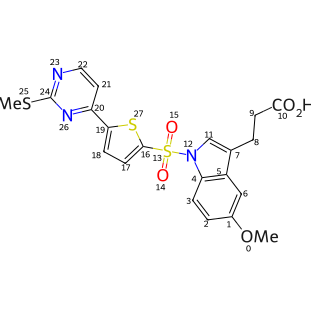 COc1ccc2c(c1)c(CCC(=O)O)cn2S(=O)(=O)c1ccc(-c2ccnc(SC)n2)s1